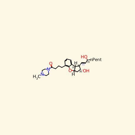 CCCCC[C@H](O)/C=C/[C@@H]1[C@H]2c3cccc(CCCC(=O)N4CCN(C)CC4)c3O[C@H]2C[C@H]1O